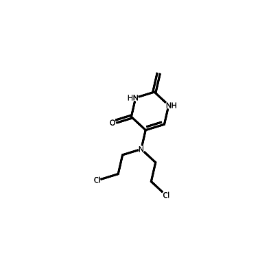 C=C1NC=C(N(CCCl)CCCl)C(=O)N1